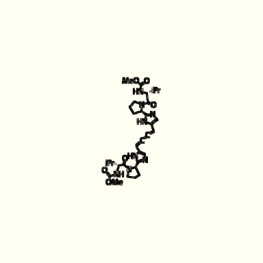 COC(=O)N[C@@H](C(=O)N1CCC[C@@H]1c1ncc(C=C=C=Cc2cnc([C@H]3CCCN3C(=O)[C@H](NC(=O)OC)C(C)C)[nH]2)[nH]1)C(C)C